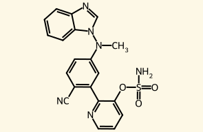 CN(c1ccc(C#N)c(-c2ncccc2OS(N)(=O)=O)c1)n1cnc2ccccc21